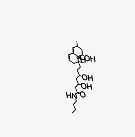 CCCCNC(=O)CC(O)CC(O)CCC1(C)CC=CC2=CC(C)CC(O)[C@@H]21